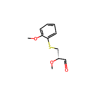 COc1ccccc1SC[C@H](C=O)OC